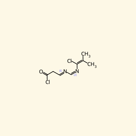 CC(C)=C(Cl)/N=C\N=C\CC(=O)Cl